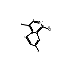 Cc1ccc2c(C)cnc(Cl)c2c1